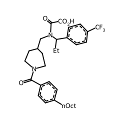 CCCCCCCCc1ccc(C(=O)N2CCC(CN(C(=O)C(=O)O)C(CC)c3ccc(C(F)(F)F)cc3)CC2)cc1